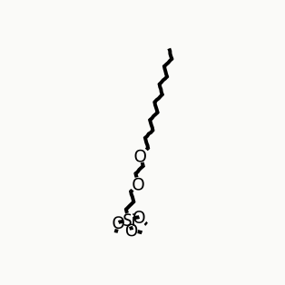 CCCCCCCCCCCCOCCOCCC[Si](OC)(OC)OC